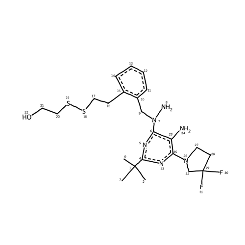 CC(C)(C)c1nc(N(N)Cc2ccccc2CCSSCCO)c(N)c(N2CCC(F)(F)C2)n1